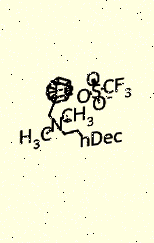 CCCCCCCCCCCC[N+](C)(C)C[C]12[CH]3[CH]4[CH]5[CH]1[Fe]45321678[CH]2[CH]1[CH]6[CH]7[CH]28.O=S(=O)([O-])C(F)(F)F